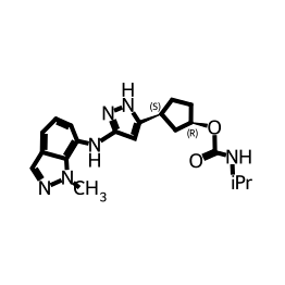 CC(C)NC(=O)O[C@@H]1CC[C@H](c2cc(Nc3cccc4cnn(C)c34)n[nH]2)C1